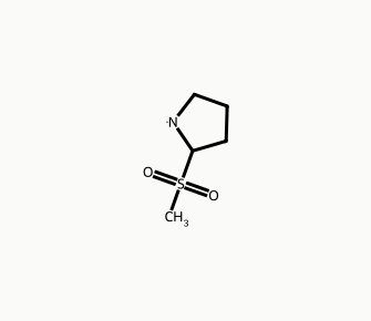 CS(=O)(=O)C1CCC[N]1